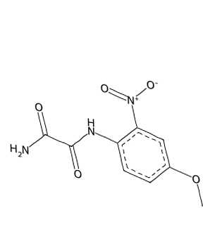 COc1ccc(NC(=O)C(N)=O)c([N+](=O)[O-])c1